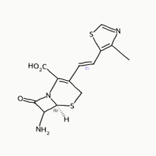 Cc1ncsc1/C=C/C1=C(C(=O)O)N2C(=O)C(N)[C@@H]2SC1